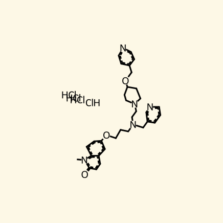 Cl.Cl.Cl.Cl.Cn1c(=O)ccc2cc(OCCCN(CCN3CCC(OCc4ccncc4)CC3)Cc3cccnc3)ccc21